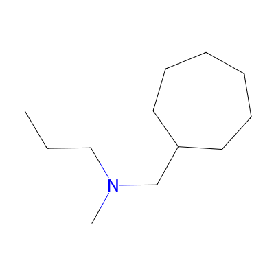 CCCN(C)CC1CCCCCC1